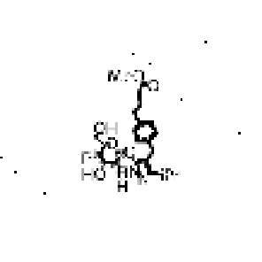 COC(=O)CCCc1ccc(Cc2c(C(C)C)n[nH]c2O[C@@H]2O[C@H](CO)[C@@H](F)[C@H](O)[C@H]2O)cc1